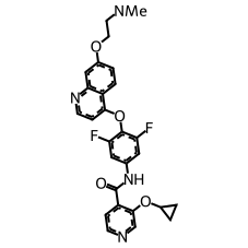 CNCCOc1ccc2c(Oc3c(F)cc(NC(=O)c4ccncc4OC4CC4)cc3F)ccnc2c1